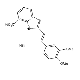 Br.COc1ccc(C=Cc2nc3cccc(C(=O)O)c3[nH]2)cc1OC